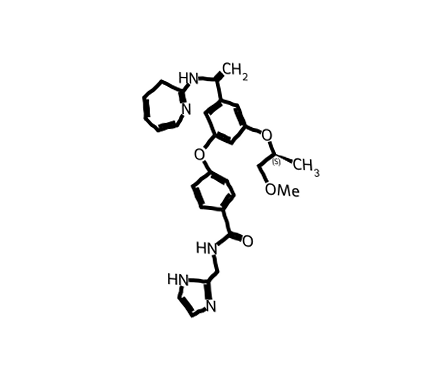 C=C(NC1=NC=CC=CC1)c1cc(Oc2ccc(C(=O)NCc3ncc[nH]3)cc2)cc(O[C@@H](C)COC)c1